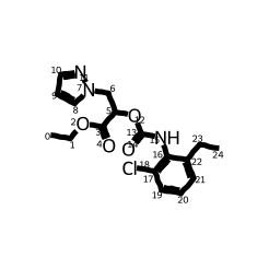 CCOC(=O)C(Cn1cccn1)OC(=O)Nc1c(Cl)cccc1CC